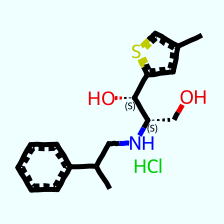 Cc1csc([C@@H](O)[C@H](CO)NCC(C)c2ccccc2)c1.Cl